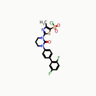 Cc1nc(N2CCCN(c3ccc(-c4cc(F)ccc4F)cc3)C2=O)sc1S(=O)(=O)Cl